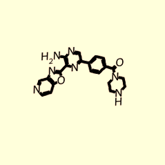 Nc1ncc(-c2ccc(C(=O)N3CCNCC3)cc2)nc1-c1nc2cnccc2o1